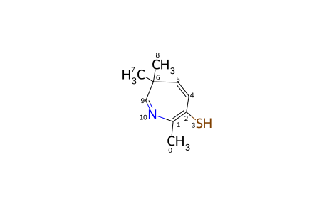 CC1=C(S)C=CC(C)(C)C=N1